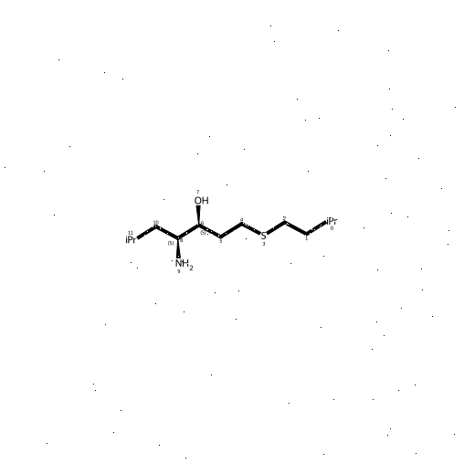 CC(C)CCSCC[C@H](O)[C@@H](N)CC(C)C